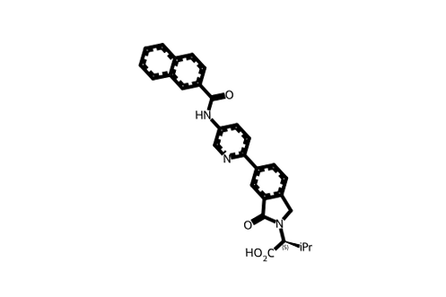 CC(C)[C@@H](C(=O)O)N1Cc2ccc(-c3ccc(NC(=O)c4ccc5ccccc5c4)cn3)cc2C1=O